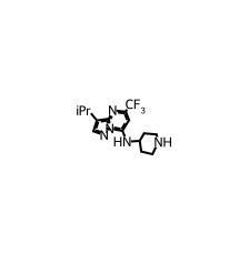 CC(C)c1cnn2c(NC3CCNCC3)cc(C(F)(F)F)nc12